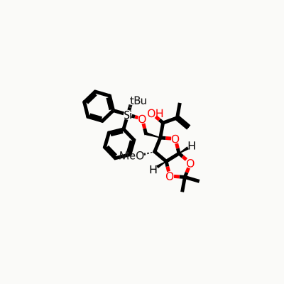 C=C(C)C(O)[C@]1(CO[Si](c2ccccc2)(c2ccccc2)C(C)(C)C)O[C@@H]2OC(C)(C)O[C@@H]2[C@@H]1OC